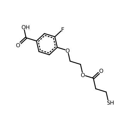 O=C(CCS)OCCOc1ccc(C(=O)O)cc1F